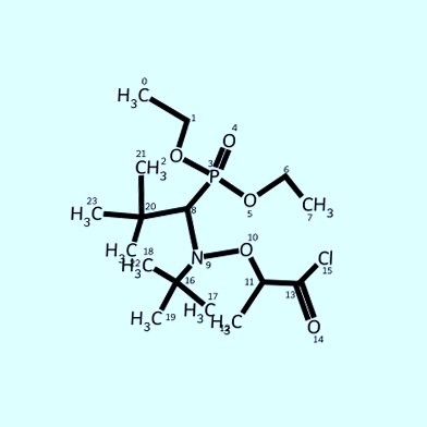 CCOP(=O)(OCC)C(N(OC(C)C(=O)Cl)C(C)(C)C)C(C)(C)C